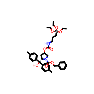 CCO[Si](CCCNC(=O)O[C@@H]1C[C@@H](C(O)(c2ccc(C)cc2)c2ccc(C)cc2)N(C(=O)OCc2ccccc2)C1)(OCC)OCC